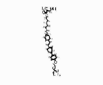 C=CC(=O)OCCOc1ccc(-c2ccc(/C=C/c3ccc(OCCCCCCOC(=O)C(=C)CO)cc3)cc2)cc1